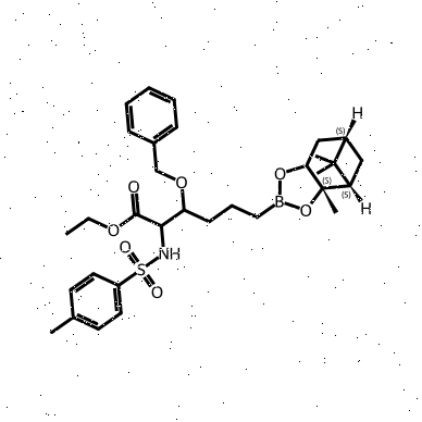 CCOC(=O)C(NS(=O)(=O)c1ccc(C)cc1)C(CCCB1OC2C[C@@H]3C[C@@H](C3(C)C)[C@]2(C)O1)OCc1ccccc1